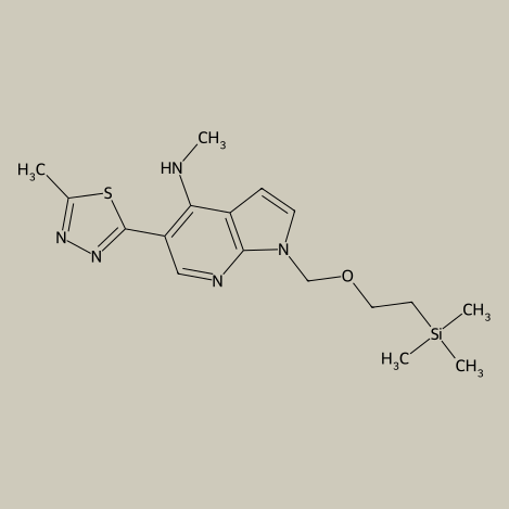 CNc1c(-c2nnc(C)s2)cnc2c1ccn2COCC[Si](C)(C)C